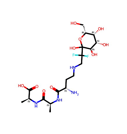 C[C@H](NC(=O)[C@H](C)NC(=O)[C@@H](N)CCNCC(F)(F)C1(O)O[C@H](CO)[C@H](O)[C@H](O)[C@H]1O)C(=O)O